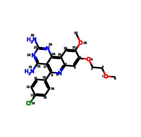 COCCOc1cc2nc(-c3ccc(Cl)cc3)c3c(N)nc(N)nc3c2cc1OC